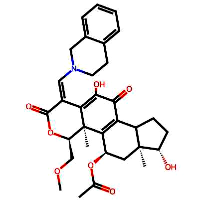 COC[C@H]1OC(=O)/C(=C/N2CCc3ccccc3C2)C2=C(O)C(=O)C3=C([C@H](OC(C)=O)C[C@@]4(C)C3CC[C@@H]4O)[C@]21C